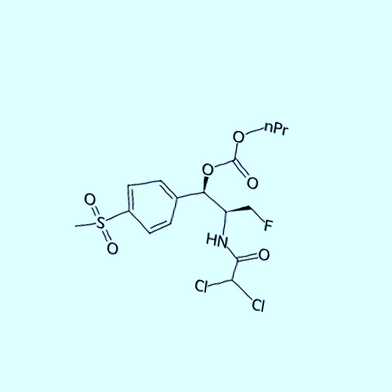 CCCOC(=O)O[C@H](c1ccc(S(C)(=O)=O)cc1)[C@@H](CF)NC(=O)C(Cl)Cl